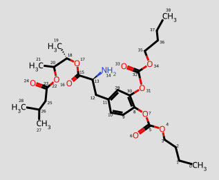 CCCCOC(=O)Oc1ccc(C[C@H](N)C(=O)O[C@@H](C)C(C)OC(=O)CC(C)C)cc1OC(=O)OCCCC